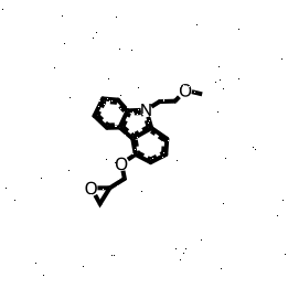 COCCn1c2ccccc2c2c(OCC3CO3)cccc21